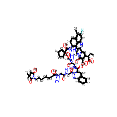 CCC1C(=O)OCc2c1cc1n(c2=O)Cc2c-1nc1cc(F)c(C)c3c1c2C(NC(=O)C1(OCNC(=O)CNC(=O)C(Cc2ccccc2)NC(=O)CNC(=O)CNC(=O)CCCCCN2C(=O)CC(C)(C)C2=O)CCCC1)CC3